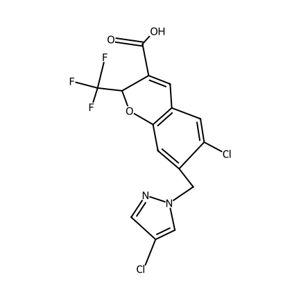 O=C(O)C1=Cc2cc(Cl)c(Cn3cc(Cl)cn3)cc2OC1C(F)(F)F